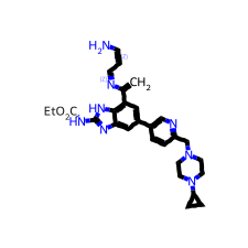 C=C(/N=C\C=C/N)c1cc(-c2ccc(CN3CCN(C4CC4)CC3)nc2)cc2nc(NC(=O)OCC)[nH]c12